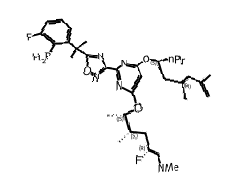 C=C(C)C[C@@H](C)C[C@H](CCC)Oc1cc(O[C@@H](C)[C@@H](C)C[C@@H](F)CNC)nc(-c2noc(C(C)(C)c3cccc(F)c3P)n2)n1